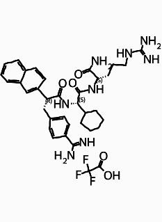 N=C(N)NCCC[C@H](NC(=O)[C@@H](NC(=O)[C@H](Cc1ccc(C(=N)N)cc1)c1ccc2ccccc2c1)C1CCCCC1)C(N)=O.O=C(O)C(F)(F)F